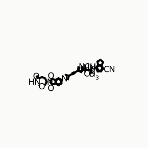 CC(C)(C(=O)Nc1ccc(C#N)c2c1CCC2)n1cc(C#CC2CN(c3ccc4c(c3)C(=O)N(C3CCC(=O)NCOC3)C4=O)C2)cn1